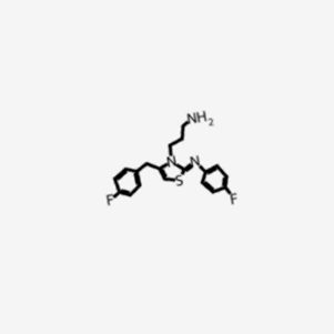 NCCCn1c(Cc2ccc(F)cc2)cs/c1=N\c1ccc(F)cc1